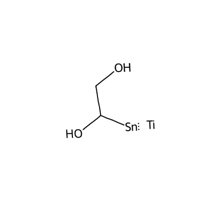 OC[CH](O)[Sn].[Ti]